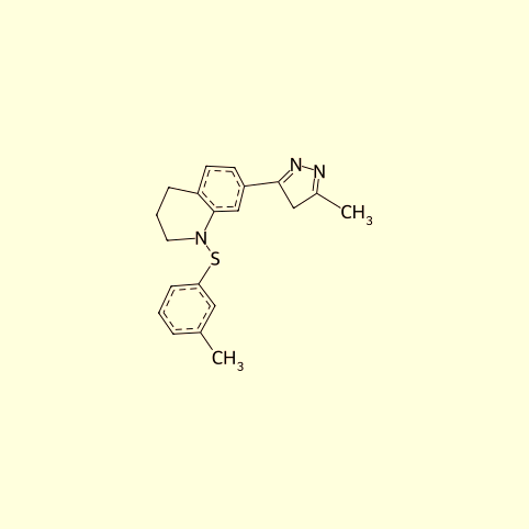 CC1=NN=C(c2ccc3c(c2)N(Sc2cccc(C)c2)CCC3)C1